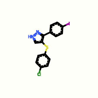 Clc1ccc(Sc2c[nH]nc2-c2ccc(I)cc2)cc1